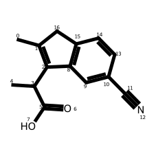 CC1=C(C(C)C(=O)O)c2cc(C#N)ccc2C1